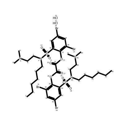 CCCCCCN(CCN(C)C)S(=O)(=O)c1cc(Br)cc(Br)c1OC(=O)C(=O)Oc1c(Br)cc(Br)cc1S(=O)(=O)N(CCCCCC)CCN(C)C.Cl.Cl